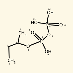 CCC(C)OP(=O)(O)OP(=O)(O)O